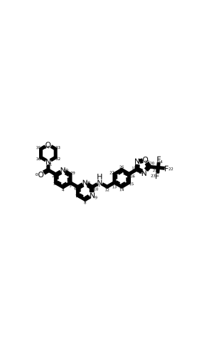 O=C(c1ccc(-c2ccnc(NCc3ccc(-c4noc(C(F)(F)F)n4)cc3)n2)cn1)N1CCOCC1